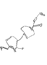 CC(C)(C)OC(=O)N1CC=C(c2ccc(F)nc2F)CC1